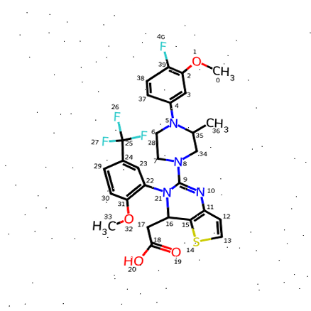 COc1cc(N2CCN(C3=Nc4ccsc4C(CC(=O)O)N3c3cc(C(F)(F)F)ccc3OC)CC2C)ccc1F